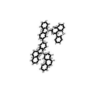 c1ccc2c(c1)Sc1cccc3nc(-n4c5ccccc5c5ccc(-c6ccc7c(c6)c6ccc8ccccc8c6n7-c6ccc7ccc8ccccc8c7c6)cc54)nc-2c13